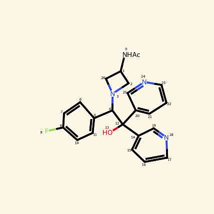 CC(=O)NC1CN(C(c2ccc(F)cc2)C(O)(c2cccnc2)c2cccnc2)C1